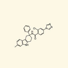 Cc1ccc2c3c([nH]c2c1)CCC(NC(=O)c1ccc(-n2cnnc2)cc1Cl)(c1ccccc1)C3